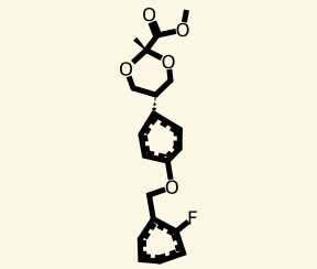 COC(=O)[C@]1(C)OC[C@H](c2ccc(OCc3ccccc3F)cc2)CO1